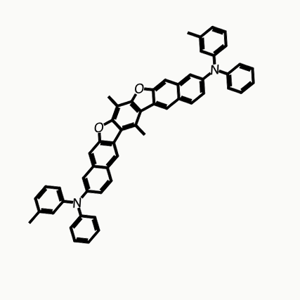 Cc1cccc(N(c2ccccc2)c2ccc3cc4c(cc3c2)oc2c(C)c3oc5cc6cc(N(c7ccccc7)c7cccc(C)c7)ccc6cc5c3c(C)c24)c1